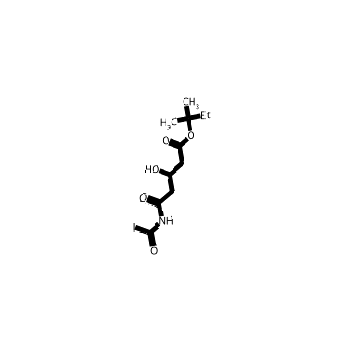 CCC(C)(C)OC(=O)CC(O)CC(=O)NC(=O)I